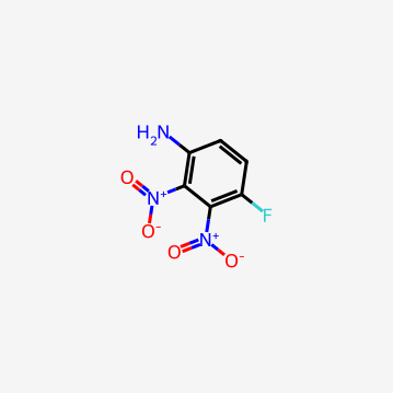 Nc1ccc(F)c([N+](=O)[O-])c1[N+](=O)[O-]